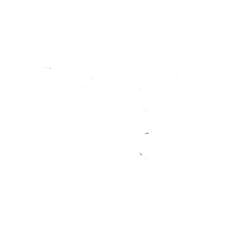 COCCn1cc2ccc(Nc3nc(N[C@@H]4CCCC[C@@H]4N)c(F)cc3C(N)=O)cc2n1